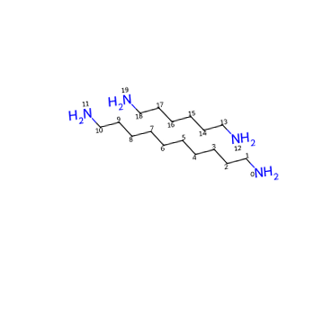 NCCCCCCCCCCN.NCCCCCCN